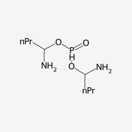 CCCC(N)O[PH](=O)OC(N)CCC